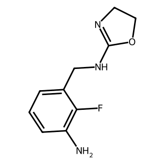 Nc1cccc(CNC2=NCCO2)c1F